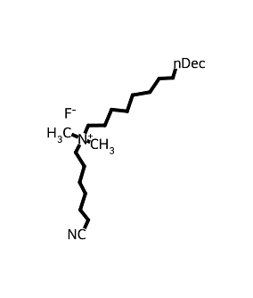 CCCCCCCCCCCCCCCCCC[N+](C)(C)CCCCCCC#N.[F-]